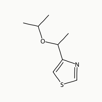 CC(C)OC(C)c1cscn1